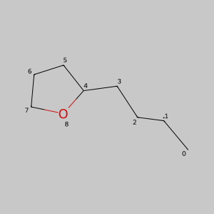 C[CH]CCC1CCCO1